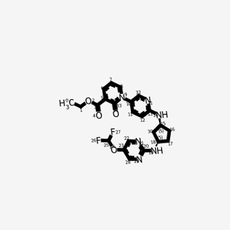 CCOC(=O)c1cccn(-c2ccc(N[C@H]3CC[C@H](Nc4ncc(OC(F)F)cn4)C3)nc2)c1=O